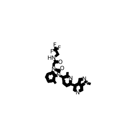 Cc1nc(-c2cncc3c2cnn3C)ccc1-n1c(=O)n(CC(=O)NCC(F)(F)F)c2cccc(C)c21